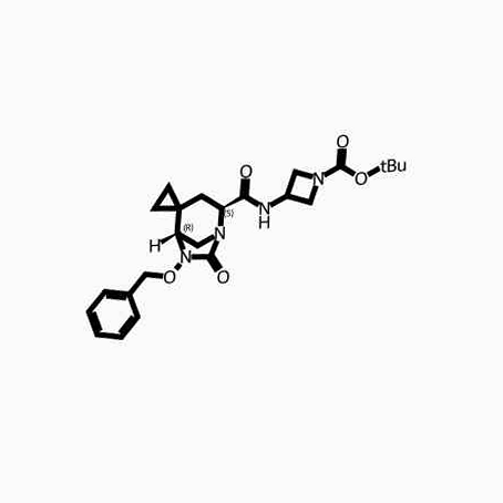 CC(C)(C)OC(=O)N1CC(NC(=O)[C@@H]2CC3(CC3)[C@@H]3CN2C(=O)N3OCc2ccccc2)C1